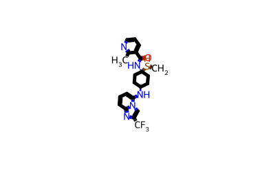 C=[SH][C@]1(NC(=O)c2cccnc2C)CC[C@H](Nc2cccc3nc(C(F)(F)F)cn23)CC1